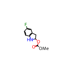 COC(=O)OC1Cc2cc(F)ccc2N1